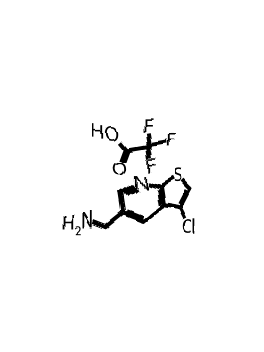 NCc1cnc2scc(Cl)c2c1.O=C(O)C(F)(F)F